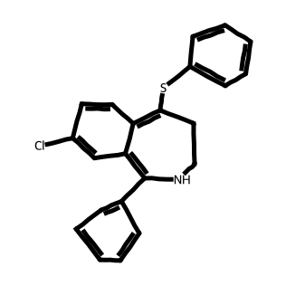 Clc1ccc2c(c1)=C(c1ccccc1)NCCC=2Sc1ccccc1